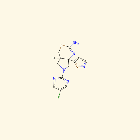 NC1=NC2(c3ccns3)CN(c3ncc(F)cn3)C[C@H]2CS1